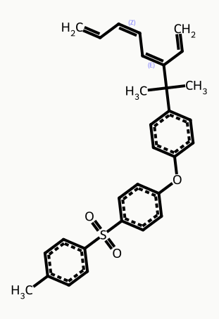 C=C/C=C\C=C(/C=C)C(C)(C)c1ccc(Oc2ccc(S(=O)(=O)c3ccc(C)cc3)cc2)cc1